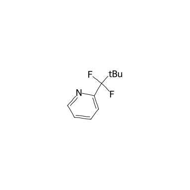 CC(C)(C)C(F)(F)c1ccccn1